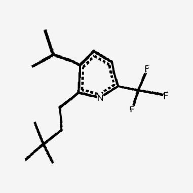 CC(C)c1ccc(C(F)(F)F)nc1CCC(C)(C)C